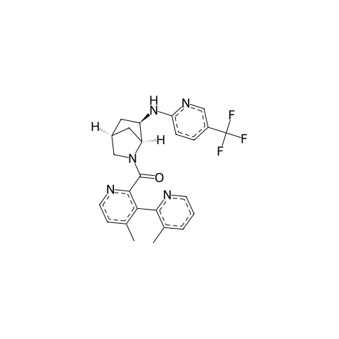 Cc1cccnc1-c1c(C)ccnc1C(=O)N1C[C@H]2C[C@@H](Nc3ccc(C(F)(F)F)cn3)[C@@H]1C2